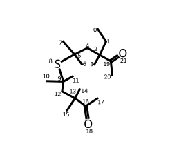 CCC(C)(CC(C)(C)SC(C)(C)CC(C)(C)C(C)=O)C(C)=O